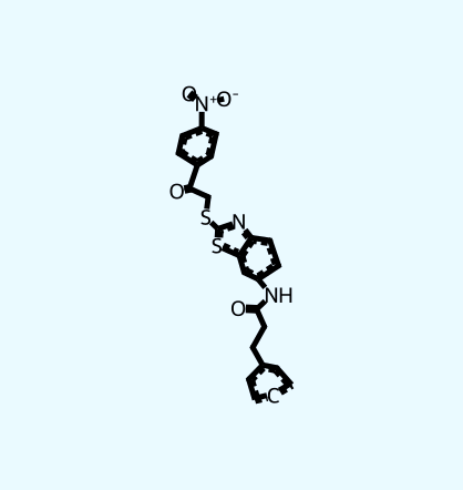 O=C(CCc1ccccc1)Nc1ccc2nc(SCC(=O)c3ccc([N+](=O)[O-])cc3)sc2c1